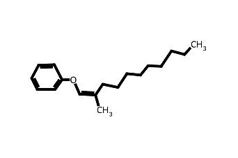 CCCCCCCCCC(C)=COc1ccccc1